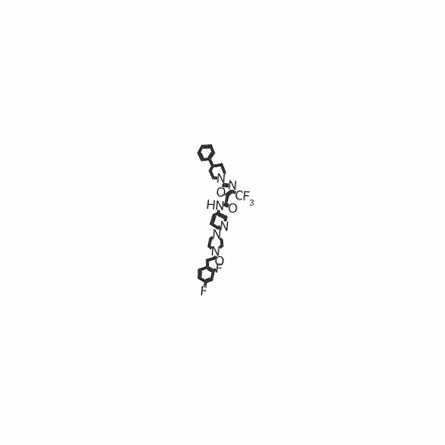 O=C(Nc1ccc(N2CCN(C(=O)Cc3ccc(F)cc3F)CC2)nc1)c1oc(N2CCC(c3ccccc3)CC2)nc1C(F)(F)F